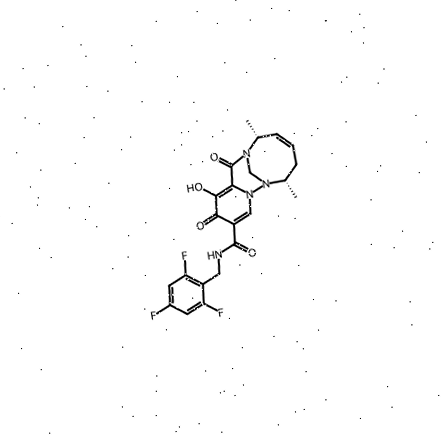 C[C@@H]1/C=C\C[C@H](C)N2CN1C(=O)c1c(O)c(=O)c(C(=O)NCc3c(F)cc(F)cc3F)cn12